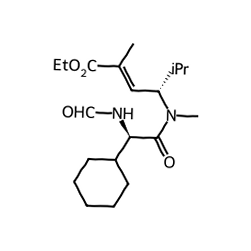 CCOC(=O)/C(C)=C/[C@H](C(C)C)N(C)C(=O)[C@H](NC=O)C1CCCCC1